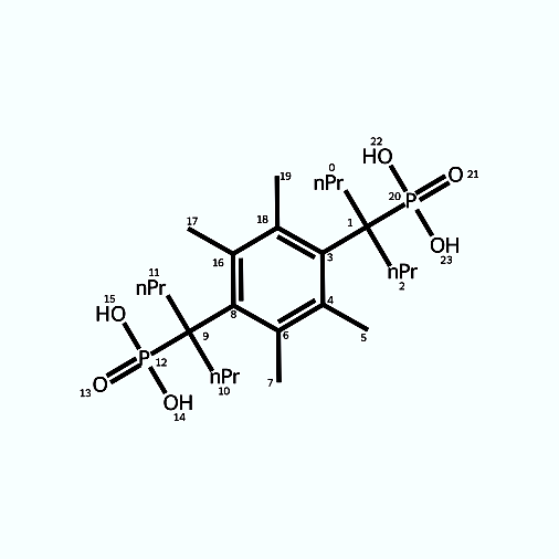 CCCC(CCC)(c1c(C)c(C)c(C(CCC)(CCC)P(=O)(O)O)c(C)c1C)P(=O)(O)O